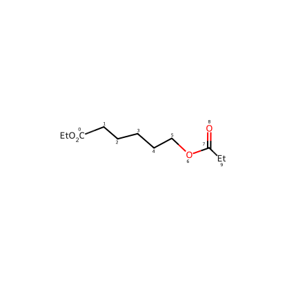 CCOC(=O)CCCCCOC(=O)CC